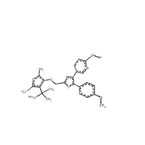 Cc1sc(C)c(C(C)(C)C(=O)O)c1OCc1nc(-c2cnc(OC(C)C)nc2)c(-c2ccc(OC(F)(F)F)cc2)o1